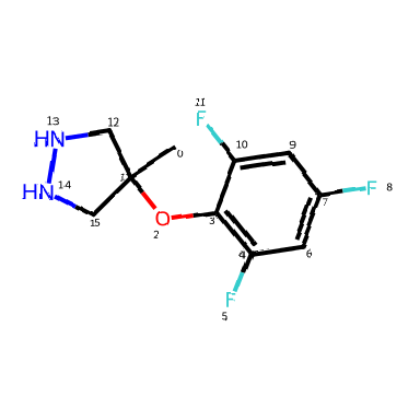 CC1(Oc2c(F)cc(F)cc2F)CNNC1